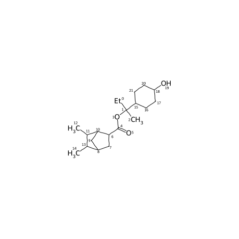 CCC(C)(OC(=O)C1CC2CC1C(C)C2C)C1CCC(O)CC1